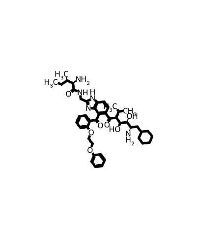 CC[C@@H](C)[C@@H](N)C(=O)NCc1nc2c(C(=O)c3ccccc3OCCOc3ccccc3)c(C(=O)C(C(C)C)C(O)[C@H](O)[C@@H](N)CC3CCCCC3)ccc2[nH]1